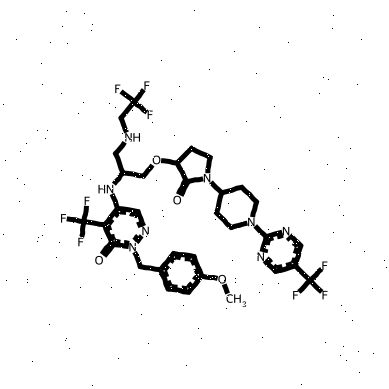 COc1ccc(Cn2ncc(NC(CNCC(F)(F)F)COC3CCN(C4CCN(c5ncc(C(F)(F)F)cn5)CC4)C3=O)c(C(F)(F)F)c2=O)cc1